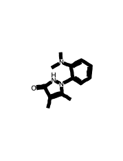 Cc1c(C)n(-c2ccccc2N(C)C)[nH]c1=O